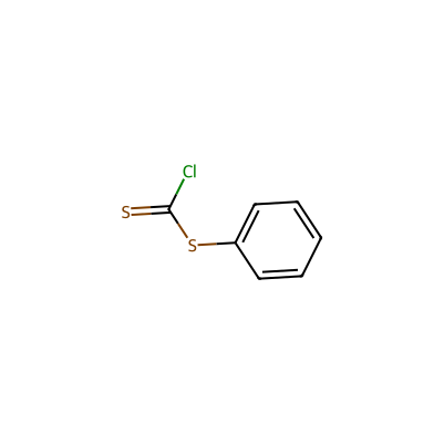 S=C(Cl)Sc1ccccc1